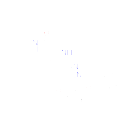 CCCNC(=O)C[C@H](CC(C)C)NC(=O)c1cc(-c2c(OC)cccc2OCc2ccccc2)n(CC(C)C)n1